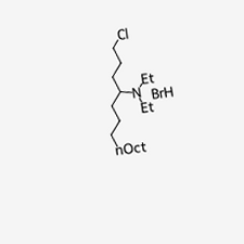 Br.CCCCCCCCCCCC(CCCCl)N(CC)CC